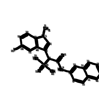 Cn1cc(C(C(=O)Nc2ccc3ccccc3c2)P(=O)(O)O)c2cc(F)ccc21